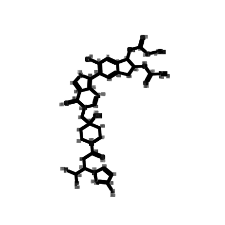 CC(C)(C)OC(=O)OC1c2cc(Cl)c(-c3scc4c(=O)n(CC5(O)CCN(C(=O)CC(C(F)F)n6ccc(F)n6)CC5)cnc34)cc2CC1OC(N)=O